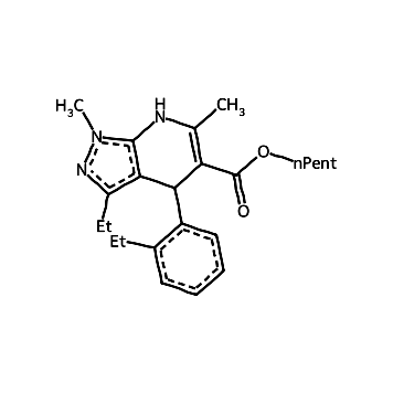 CCCCCOC(=O)C1=C(C)Nc2c(c(CC)nn2C)C1c1ccccc1CC